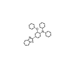 c1ccc(Oc2cc(-c3nc4ccccc4s3)ccc2N(c2ccccc2)c2ccccc2)cc1